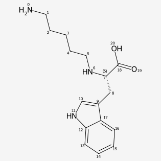 NCCCCCN[C@@H](Cc1c[nH]c2ccccc12)C(=O)O